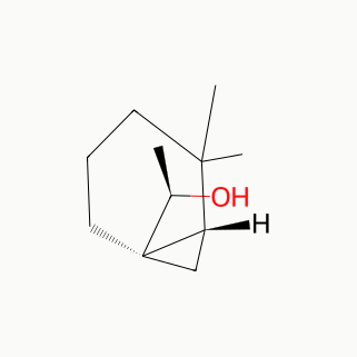 C[C@@H](O)[C@@]12CCCC(C)(C)[C@@H]1C2